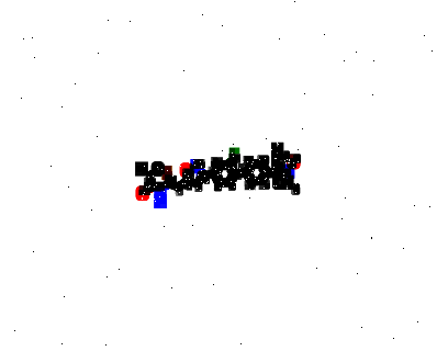 CSC(CC1CC(c2ccc(-c3ccc(C(C)(C)N=O)cc3)c(F)c2)=NO1)NC=O